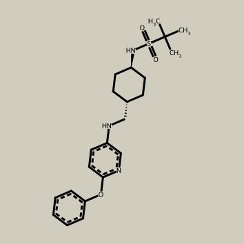 CC(C)(C)S(=O)(=O)N[C@H]1CC[C@H](CNc2ccc(Oc3ccccc3)nc2)CC1